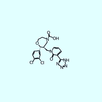 O=C(O)N1CCO[C@@H](c2ccc(Cl)c(Cl)c2)[C@H](Cn2cccc(-c3nnn[nH]3)c2=O)C1